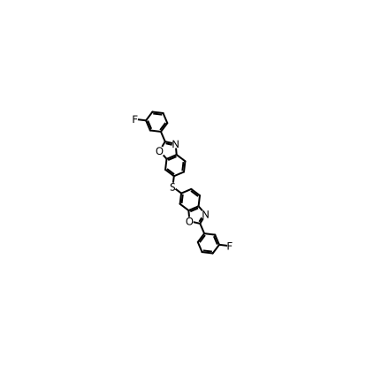 Fc1cccc(-c2nc3ccc(Sc4ccc5nc(-c6cccc(F)c6)oc5c4)cc3o2)c1